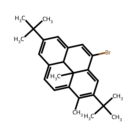 CC1=C(C(C)(C)C)C=C2C(Br)=CC3=CC(C(C)(C)C)=CC4=CC=C1C2(C)C43